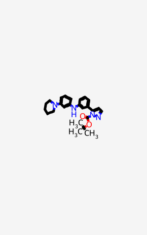 CC(C)(C)OC(=O)n1nccc1-c1cccc(Nc2cccc(N3CCCCC3)c2)c1